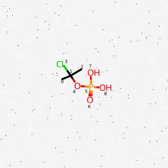 CC(C)(Cl)OP(=O)(O)O